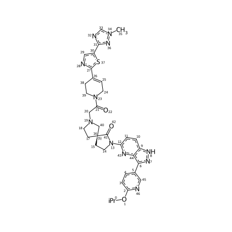 CC(C)Oc1ccc(-c2n[nH]c3ccc(N4CC[C@]5(CCN(CC(=O)N6CC=C(c7ncc(-c8ncn(C)n8)s7)CC6)C5)C4=O)nc23)cn1